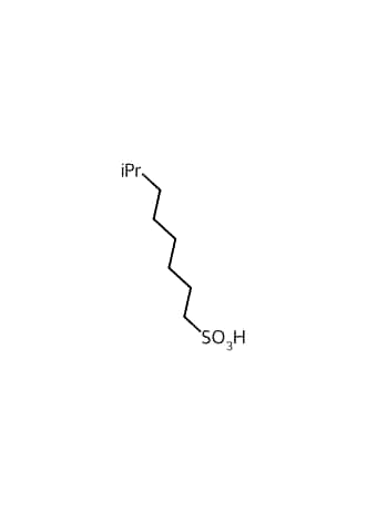 CC(C)CCCCCCS(=O)(=O)O